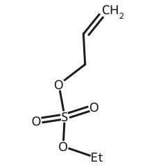 C=CCOS(=O)(=O)OCC